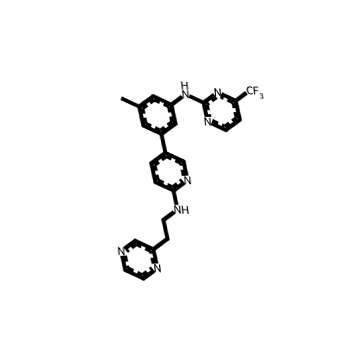 Cc1cc(Nc2nccc(C(F)(F)F)n2)cc(-c2ccc(NCCc3cnccn3)nc2)c1